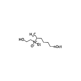 CCCCCCCCCCCCC(C)[N+]([O-])(CC)CCO